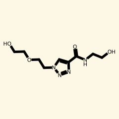 O=C(NCCO)c1cn(CCOCCO)nn1